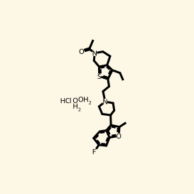 CCc1c(CCN2CCC(c3c(C)oc4cc(F)ccc34)CC2)sc2c1CCN(C(C)=O)C2.Cl.O.O